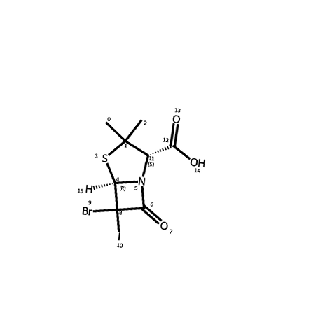 CC1(C)S[C@H]2N(C(=O)C2(Br)I)[C@H]1C(=O)O